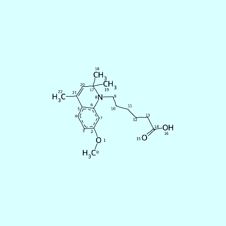 COc1ccc2c(c1)N(CCCCCC(=O)O)C(C)(C)C=C2C